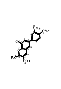 COc1ccc(-c2cc(Cl)c3c(c2)C=C(C(=O)O)C(C(F)(F)F)O3)cc1OC